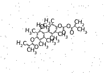 C=C(C)C(=O)OC(=O)Oc1c(C)c(C)c(-c2c(C)c(C)c(OC(=O)C(=C)C)c(C)c2C)c(C)c1C